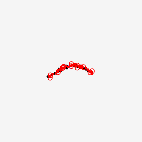 C=CC(=O)OCCCCCCOc1ccc(COOc2ccc(/C=C/OC(=O)c3ccc(OC(=O)c4ccc(OCCCCCCOC(=O)C=C)cc4)cc3)cc2C)cc1